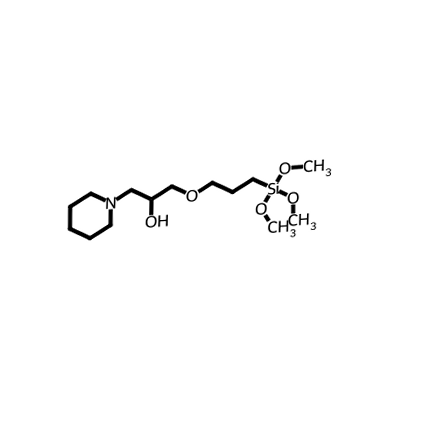 CO[Si](CCCOCC(O)CN1CCCCC1)(OC)OC